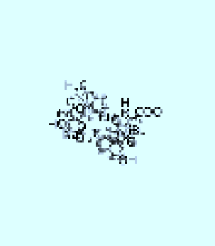 CC[C@H](C)C(=O)O[C@H]1C[C@@H](C)C=C2C=C[C@H](C)[C@H](CC[C@@H]3C[C@@H](O)CC(=O)O3)[C@H]21.CC[C@H](C)C(=O)O[C@H]1C[C@H](O)C=C2C=C[C@H](C)[C@H](CC[C@@H](O)C[C@@H](O)CC(=O)[O-])[C@H]21.[Na+]